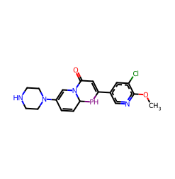 COc1ncc(C2=CC(=O)N3C=C(N4CCNCC4)C=CC3P2)cc1Cl